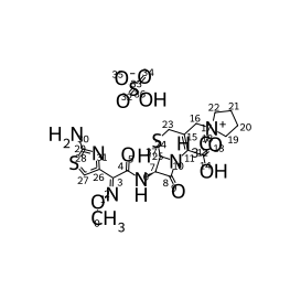 CON=C(C(=O)N[C@@H]1C(=O)N2C(C(=O)O)=C(C[N+]3(C)CCCC3)CS[C@H]12)c1csc(N)n1.O=S(=O)([O-])O